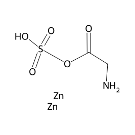 NCC(=O)OS(=O)(=O)O.[Zn].[Zn]